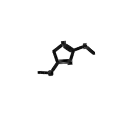 COC1=NC(SC)=NC1